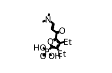 CCc1c(C(=O)C=CN(C)C)oc(P(=O)(O)O)c1CC